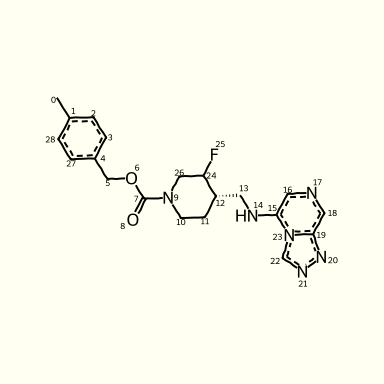 Cc1ccc(COC(=O)N2CC[C@@H](CNc3cncc4nncn34)C(F)C2)cc1